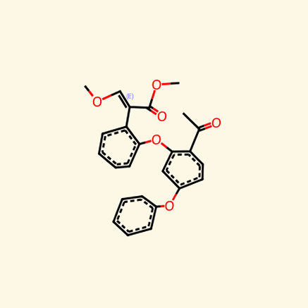 CO/C=C(/C(=O)OC)c1ccccc1Oc1cc(Oc2ccccc2)ccc1C(C)=O